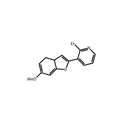 CCc1ncccc1C1=CC2CC=C(OC)C=C2O1